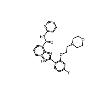 O=C(Nc1ccccn1)c1cccc2[nH]c(-c3ccc(F)cc3OCCN3CCOCC3)nc12